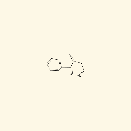 S=C1CC=N[C]=C1c1ccccc1